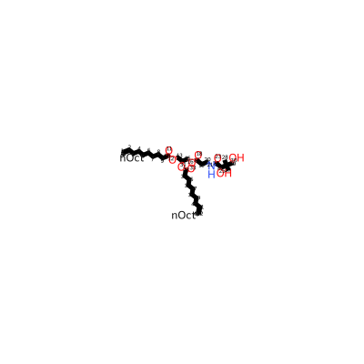 CCCCCCCC/C=C\CCCCCCCC(=O)OCC(COC(=O)CCNC(=O)C(O)C(C)(C)CO)OC(=O)CCCCCCC/C=C\CCCCCCCC